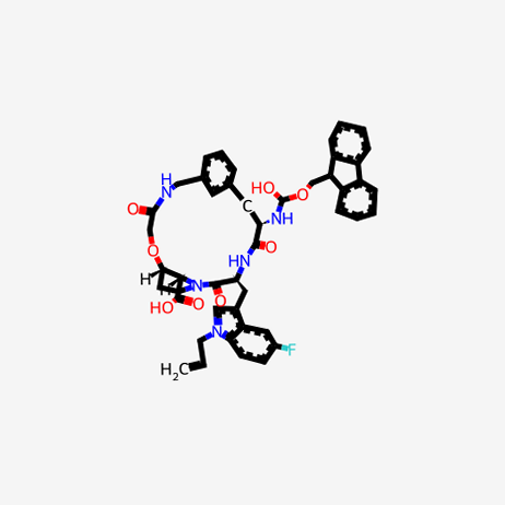 C=CCn1cc(C[C@@H]2NC(=O)[C@@H](NC(O)OCC3c4ccccc4-c4ccccc43)Cc3cccc(c3)CNC(=O)CO[C@H]3CCN(C2=O)[C@@H]3C(=O)O)c2cc(F)ccc21